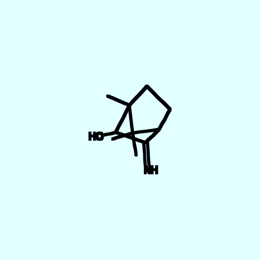 CC1(C)C2CCC1(C)C(O)C2=N